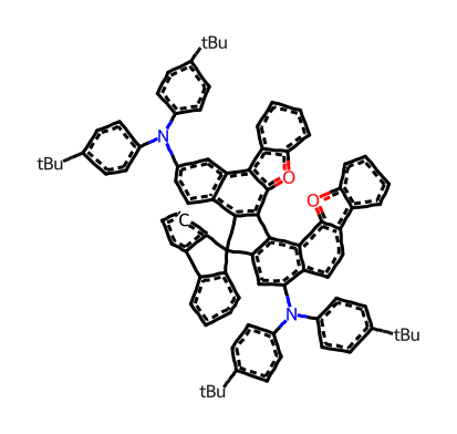 CC(C)(C)c1ccc(N(c2ccc(C(C)(C)C)cc2)c2ccc3c4c(c5oc6ccccc6c5c3c2)-c2c(cc(N(c3ccc(C(C)(C)C)cc3)c3ccc(C(C)(C)C)cc3)c3ccc5c6ccccc6oc5c23)C42c3ccccc3-c3ccccc32)cc1